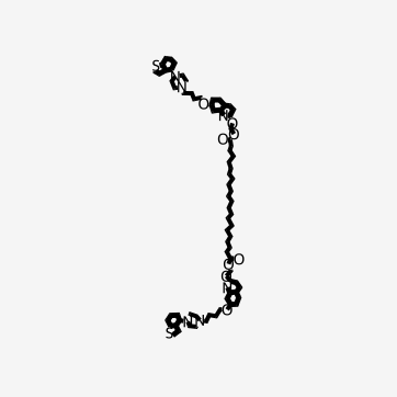 O=C(CCCCCCCCCCCCCCCCCCCCC(=O)OCOc1ccc2ccc(OCCCCN3CCN(c4cccc5sccc45)CC3)cc2n1)OCOc1ccc2ccc(OCCCCN3CCN(c4cccc5sccc45)CC3)cc2n1